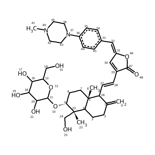 C=C1CCC2[C@](C)(CC[C@@H](OC3OC(CO)C(O)C(O)C3O)[C@@]2(C)CO)C1/C=C/C1=CC(=C\c2ccc(N3CCN(C)CC3)cc2)/OC1=O